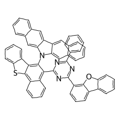 c1ccc(-c2nc(-c3c(-n4c5cc6ccccc6cc5c5cc6ccccc6cc54)c4c5ccccc5sc4c4ccccc34)nc(-c3cccc4c3oc3ccccc34)n2)cc1